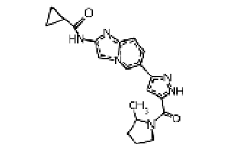 CC1CCCN1C(=O)c1cc(-c2ccc3nc(NC(=O)C4CC4)cn3c2)n[nH]1